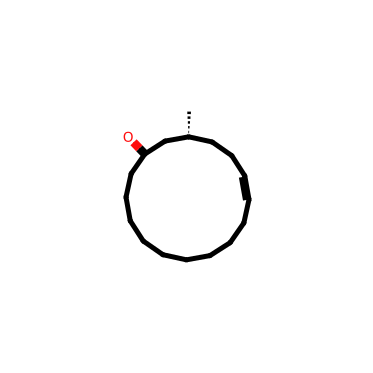 C[C@@H]1CC/C=C\CCCCCCCCCC(=O)C1